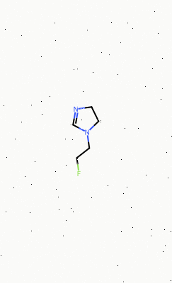 FCCN1[C]CN=[C]1